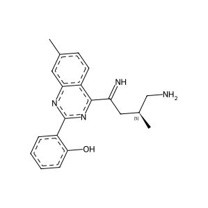 Cc1ccc2c(C(=N)C[C@H](C)CN)nc(-c3ccccc3O)nc2c1